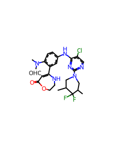 CC1CN(c2ncc(Cl)c(Nc3ccc(N(C)C)c(C4=C(C=O)C(=O)OCCN4)c3)n2)CC(C)C1(F)F